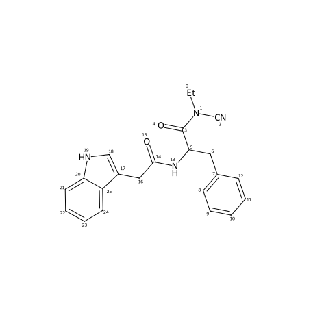 CCN(C#N)C(=O)C(Cc1ccccc1)NC(=O)Cc1c[nH]c2ccccc12